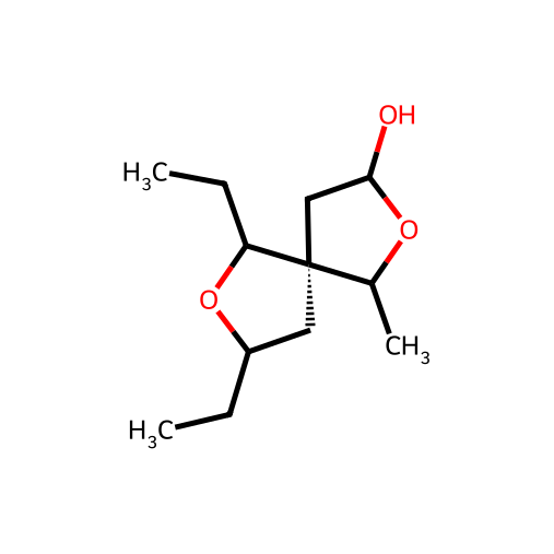 CCC1C[C@@]2(CC(O)OC2C)C(CC)O1